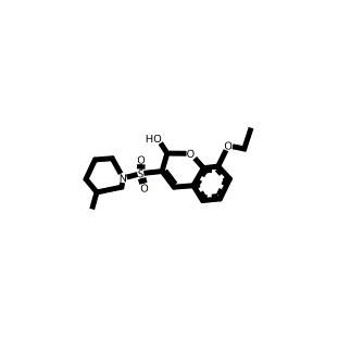 CCOc1cccc2c1OC(O)C(S(=O)(=O)N1CCCC(C)C1)=C2